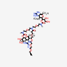 C#CCOCCOCCOCCOCCC(=O)N(CCOCCN(C)C(=O)O[C@@H]([C@@H]1OC(C(=O)O)=C[C@H](NC(=N)N)[C@H]1NC(C)=O)[C@H](O)CO)CCOCCN(C)C(=O)O[C@@H]([C@@H]1OC(C(=O)O)=C[C@H](NC(=N)N)[C@H]1NC(C)=O)[C@H](O)CO